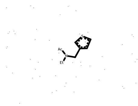 CCN(Cc1ccsc1)C(C)=O